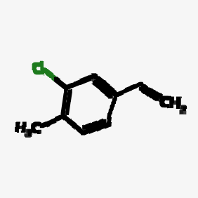 C=Cc1ccc(C)c(Cl)c1